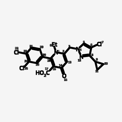 CCn1c(Cn2cc(Cl)c(C3CC3)n2)cc(=O)c(C(=O)O)c1-c1ccc(Cl)c(Cl)c1